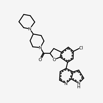 O=C(C1Cc2cc(Cl)cc(-c3ccnc4[nH]ccc34)c2O1)N1CCC(N2CCCCC2)CC1